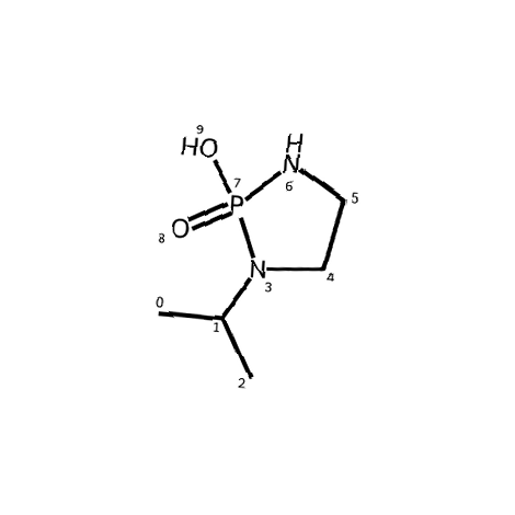 CC(C)N1CCNP1(=O)O